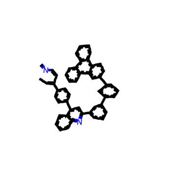 C=N/C=C\C(=C/C)c1ccc(-c2cc(-c3cccc(-c4cccc(-c5ccc6c7ccccc7c7ccccc7c6c5)c4)c3)nc3ccccc23)cc1